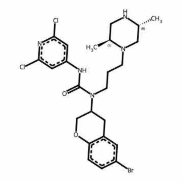 C[C@@H]1CN(CCCN(C(=O)Nc2cc(Cl)nc(Cl)c2)C2COc3ccc(Br)cc3C2)[C@@H](C)CN1